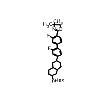 CCCCCCC1CCC2CC(c3ccc(-c4ccc(C5=NC(C)(C)CO5)c(F)c4)c(F)c3)CCC2C1